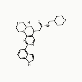 O=C(CN1C[C@@H]2COCCN2c2nc(-c3cccc4[nH]ccc34)ncc21)NCC1CCOCC1